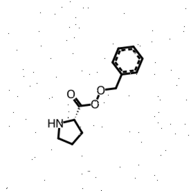 O=C(OOCc1ccccc1)[C@@H]1CCCN1